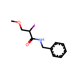 COCC(I)C(=O)NCc1ccccc1